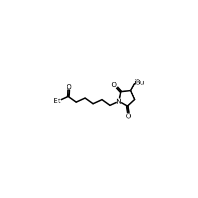 CCC(=O)CCCCCN1C(=O)CC(C(C)CC)C1=O